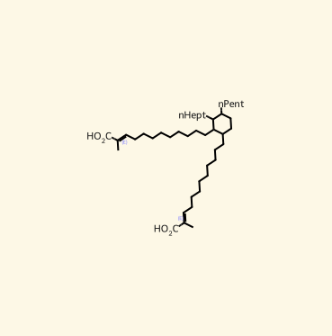 CCCCCCCC1C(CCCCC)CCC(CCCCCCCCC/C=C(\C)C(=O)O)C1CCCCCCCCC/C=C(\C)C(=O)O